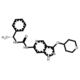 C[C@@H](NC(=O)Nc1cc2[nH]nc(OC3CCOCC3)c2cn1)c1ccccc1